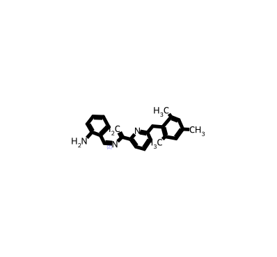 C=C(/N=C\c1ccccc1N)c1cccc(Cc2c(C)cc(C)cc2C)n1